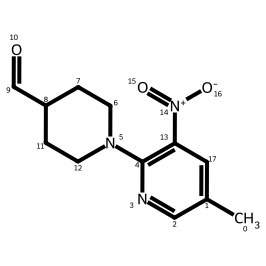 Cc1cnc(N2CCC(C=O)CC2)c([N+](=O)[O-])c1